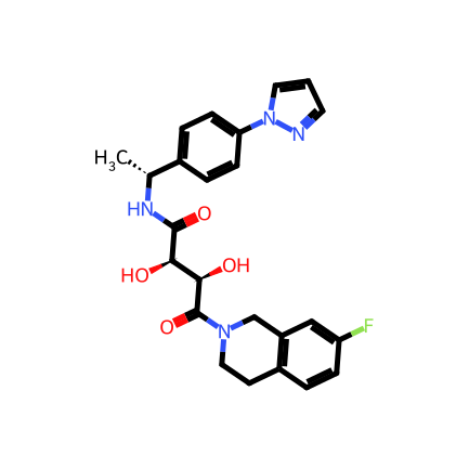 C[C@@H](NC(=O)[C@H](O)[C@@H](O)C(=O)N1CCc2ccc(F)cc2C1)c1ccc(-n2cccn2)cc1